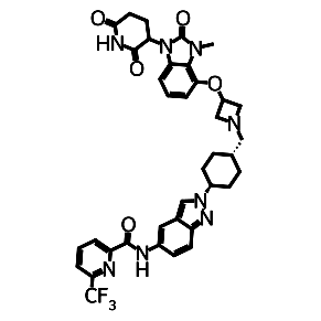 Cn1c(=O)n(C2CCC(=O)NC2=O)c2cccc(OC3CN(C[C@H]4CC[C@H](n5cc6cc(NC(=O)c7cccc(C(F)(F)F)n7)ccc6n5)CC4)C3)c21